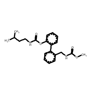 COC(=O)NCc1ccccc1-c1ccccc1OC(=O)NCCC(C)C